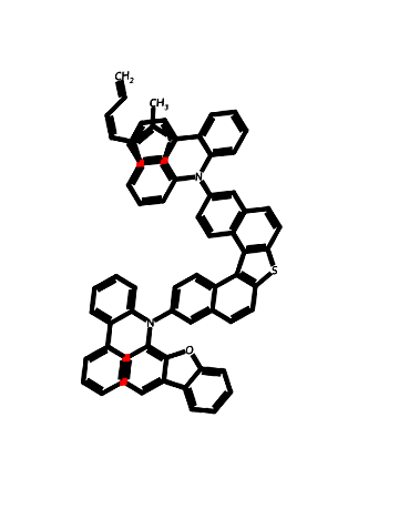 C=C/C=C\c1c(C)oc2c(N(c3ccc4c(ccc5sc6ccc7cc(N(c8ccccc8-c8ccccc8)c8cccc9c8oc8ccccc89)ccc7c6c54)c3)c3ccccc3-c3ccccc3)cccc12